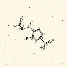 CC(=O)NC(C)c1ccc(C(=O)O)cc1F